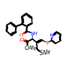 COC(=O)[C@@H](NC(=O)c1ccccc1-c1ccccc1)C(=CSc1ccccn1)CSC